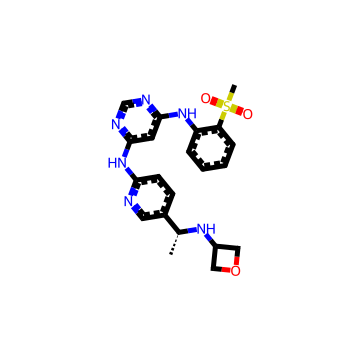 C[C@@H](NC1COC1)c1ccc(Nc2cc(Nc3ccccc3S(C)(=O)=O)ncn2)nc1